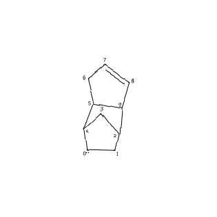 [C]1CC2CC1C1CC=CC21